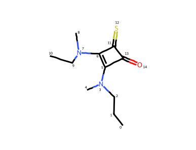 CCCN(C)c1c(N(C)CC)c(=S)c1=O